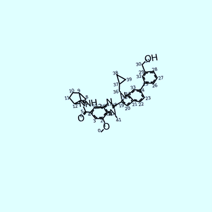 COc1cc(C(=O)N2CC3CCC2C3N)cc2nc(-c3cc4ccc(-c5cccc(CO)c5)cc4n3CC3CC3)n(C)c12